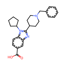 O=C(O)c1ccc2c(c1)nc(C1CCN(Cc3ccccc3)CC1)n2C1CCCC1